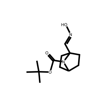 CC(C)(C)OC(=O)N1C2CCC1(C=NO)CC2